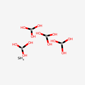 OB(O)O.OB(O)O.OB(O)O.OB(O)O.[SiH4]